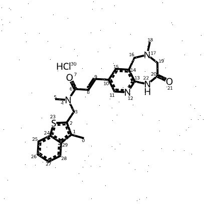 Cc1c(CN(C)C(=O)/C=C/c2cnc3c(c2)CN(C)CC(=O)N3)sc2ccccc12.Cl